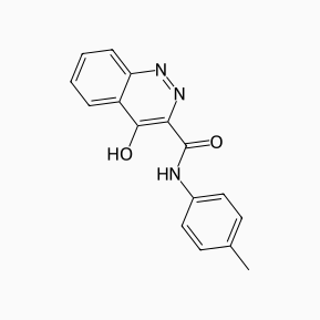 Cc1ccc(NC(=O)c2nnc3ccccc3c2O)cc1